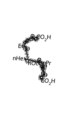 CCCCCCCCC1CCC(CCCCCC)C(CCCCCCC(=O)OCC(CC)C2CC3CC2C2CC(COC(=O)c4cccc(C(=O)O)c4)CC32)C1CCCCCCC(=O)OCC(CCC)C1CC2C[C@@H]1C1CC(COC(=O)c3cccc(C(=O)O)c3)CC21